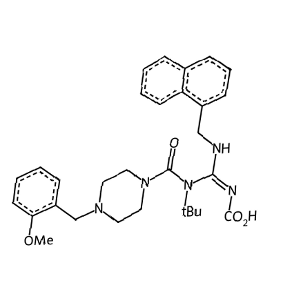 COc1ccccc1CN1CCN(C(=O)N(C(=NC(=O)O)NCc2cccc3ccccc23)C(C)(C)C)CC1